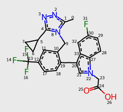 Cc1nnc(C2CC2)n1Cc1cc(C(F)(F)F)ccc1-c1cn(CC(=O)O)c2ccc(F)cc12